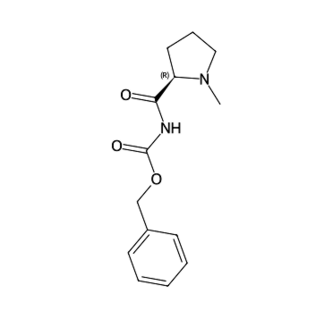 CN1CCC[C@@H]1C(=O)NC(=O)OCc1ccccc1